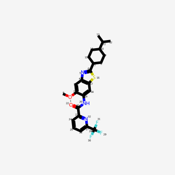 COc1cc2nc(C3CCC(C(C)C)CC3)sc2cc1NC(=O)c1cccc(C(F)(F)F)n1